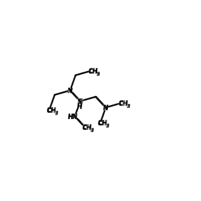 CCN(CC)[SiH](CN(C)C)NC